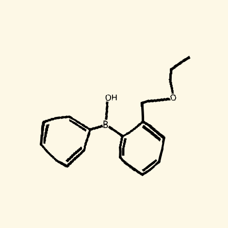 CCOCc1ccccc1B(O)c1ccccc1